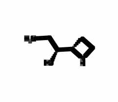 O[C@H](C[SiH3])[C@@H]1CCN1